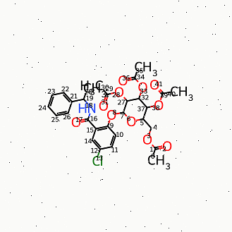 CC(=O)OCC1OC(Oc2ccc(Cl)cc2C(=O)NC(C)c2ccccc2)C(OC(C)=O)C(OC(C)=O)C1OC(C)=O